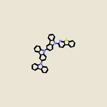 c1ccc2c(c1)sc1nc(-n3c4ccccc4c4cc(-n5c6ccccc6c6cc(-n7c8ccccc8c8ccccc87)ccc65)ccc43)ccc12